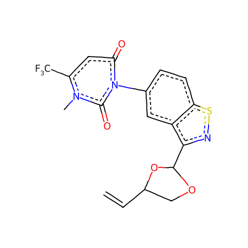 C=CC1COC(c2nsc3ccc(-n4c(=O)cc(C(F)(F)F)n(C)c4=O)cc23)O1